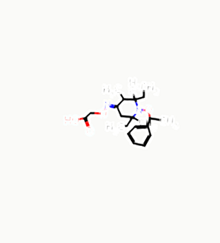 CCC1(C)CC(=NOCC(=O)O)C(C)C(C)(CC)N1OC(C)c1ccccc1